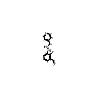 O=Cc1cccc2c1on2NCc1ccncc1